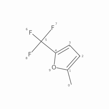 Cc1c[c]c(C(F)(F)F)o1